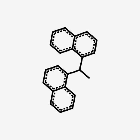 C[C](c1cccc2ccccc12)c1cccc2ccccc12